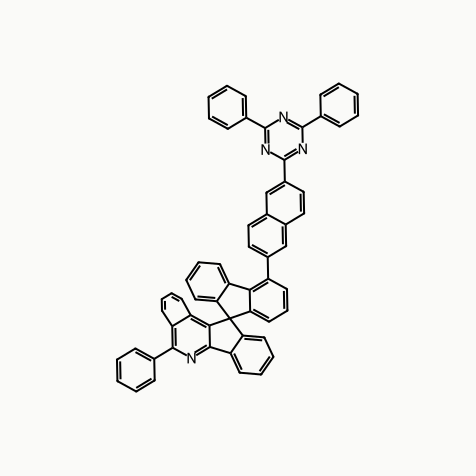 c1ccc(-c2nc(-c3ccccc3)nc(-c3ccc4cc(-c5cccc6c5-c5ccccc5C65c6ccccc6-c6nc(-c7ccccc7)c7ccccc7c65)ccc4c3)n2)cc1